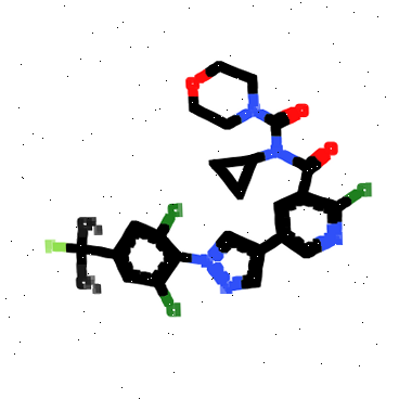 O=C(c1cc(-c2cnn(-c3c(Cl)cc(C(F)(C(F)(F)F)C(F)(F)F)cc3Cl)c2)cnc1Cl)N(C(=O)N1CCOCC1)C1CC1